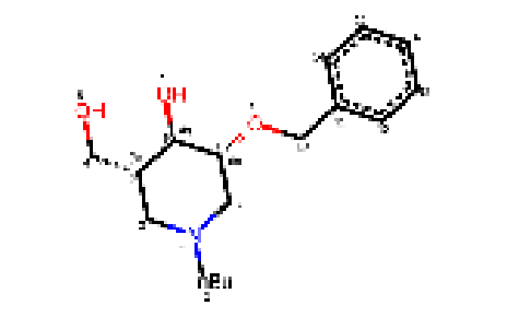 CCCCN1C[C@H](CO)[C@@H](O)[C@H](OCc2ccccc2)C1